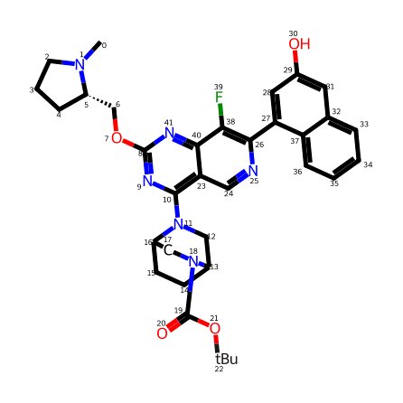 CN1CCC[C@H]1COc1nc(N2CC3CCC2CN3C(=O)OC(C)(C)C)c2cnc(-c3cc(O)cc4ccccc34)c(F)c2n1